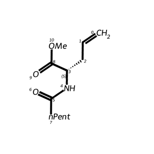 C=CC[C@H](NC(=O)CCCCC)C(=O)OC